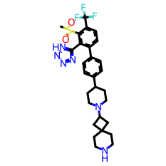 CS(=O)(=O)c1c(C(F)(F)F)ccc(-c2ccc(C3CCN(C4CC5(CCNCC5)C4)CC3)cc2)c1-c1nnn[nH]1